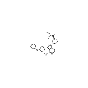 C=CC(=O)N(C)N1CCCC(n2nc(-c3ccc(Oc4ccccc4)cc3)c3c(N)ncnc32)C1